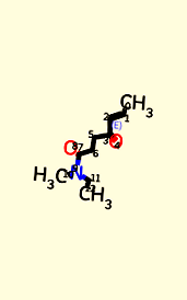 C/C=C/C(=O)CCC(=O)N(C)CC